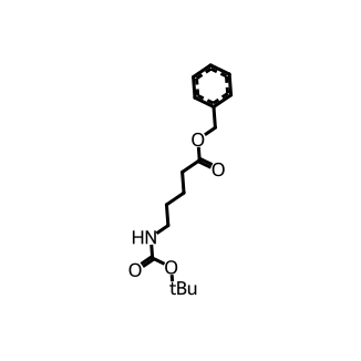 CC(C)(C)OC(=O)NCCCCC(=O)OCc1ccccc1